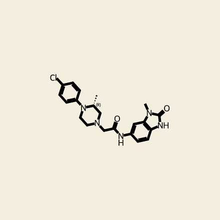 C[C@@H]1CN(CC(=O)Nc2ccc3[nH]c(=O)n(C)c3c2)CCN1c1ccc(Cl)cc1